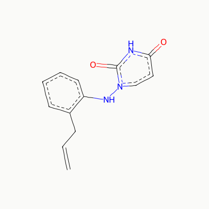 C=CCc1ccccc1Nn1ccc(=O)[nH]c1=O